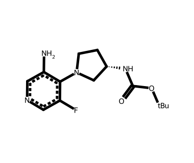 CC(C)(C)OC(=O)N[C@H]1CCN(c2c(N)cncc2F)C1